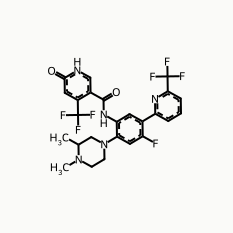 CC1CN(c2cc(F)c(-c3cccc(C(F)(F)F)n3)cc2NC(=O)c2c[nH]c(=O)cc2C(F)(F)F)CCN1C